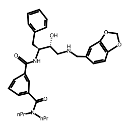 CCCN(CCC)C(=O)c1cccc(C(=O)N[C@@H](Cc2ccccc2)[C@H](O)CNCc2ccc3c(c2)OCO3)c1